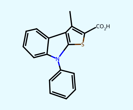 Cc1c(C(=O)O)sc2c1c1ccccc1n2-c1ccccc1